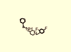 Fc1ccc(CN2CCC(CNC3CC3c3ccccc3)CC2)c(F)c1